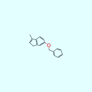 CC1=CCc2cc(OCc3ccccc3)ccc21